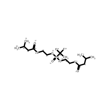 CC(C)CC(=O)SCCOP(=O)(OCCSC(=O)CC(C)C)C(C)(F)F